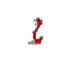 COc1cc2ncnc(Nc3ccc(F)c(Cl)c3)c2cc1NC(=O)/C=C/CN1CCC(N2CCN(C(=O)CCOCCOCCOCCNc3cccc4c3C(=O)N(C3CCC(=O)NC3=O)C4=O)CC2)CC1